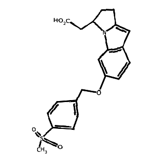 CS(=O)(=O)c1ccc(COc2ccc3cc4n(c3c2)C(CC(=O)O)CC4)cc1